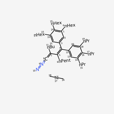 CCCCCCc1cc(C(=C(CCCCC)C(=C=[N+]=[N-])CCCC)c2cc(CCC)c(CCC)c(CCC)c2)cc(CCCCCC)c1CCCCCC.[CH3][Ni][CH3]